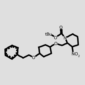 CC(C)(C)OC(=O)N1CCCC([N+](=O)[O-])C1COC1CCC(OCCc2ccccc2)CC1